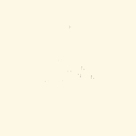 O=C(OC1COC(Cn2cncn2)(c2ccc(F)cc2F)O1)c1ccccc1